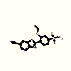 CCOc1cc(S(N)(=O)=O)ccc1-c1nc2cc(C#N)ccc2[nH]1